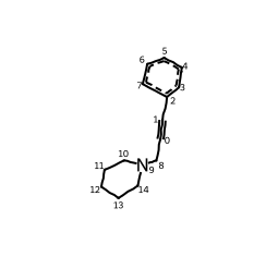 C(#Cc1c[c]ccc1)CN1CCCCC1